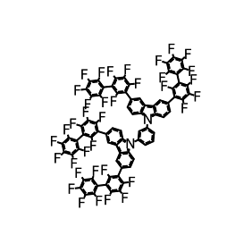 Fc1c(F)c(F)c(-c2c(F)c(F)c(F)c(-c3ccc4c(c3)c3cc(-c5c(F)c(F)c(F)c(-c6c(F)c(F)c(F)c(F)c6F)c5F)ccc3n4-c3cccc(-n4c5ccc(-c6c(F)c(F)c(F)c(-c7c(F)c(F)c(F)c(F)c7F)c6F)cc5c5cc(-c6c(F)c(F)c(F)c(-c7c(F)c(F)c(F)c(F)c7F)c6F)ccc54)c3)c2F)c(F)c1F